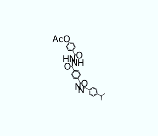 C=C(C)c1ccc(-c2nnc(-c3ccc(C(=O)NNC(=O)c4ccc(OC(C)=O)cc4)cc3)o2)cc1